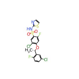 C[C@H](Oc1cc(F)c(S(=O)(=O)Nc2nccs2)cc1Cl)c1cc(Cl)ccc1F